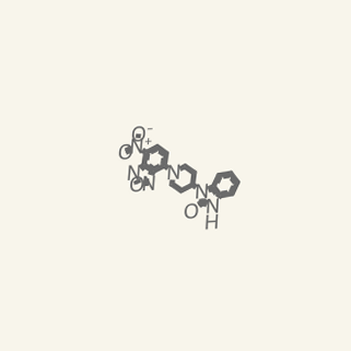 O=c1[nH]c2ccccc2n1C1CCN(c2ccc([N+](=O)[O-])c3nonc23)CC1